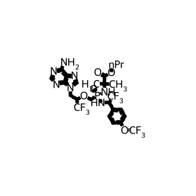 CCCOC(=O)C(C)(C)NP(=O)(COC(Cn1cnc2c(N)ncnc21)C(F)(F)F)NC(c1ccc(OC(F)(F)F)cc1)C(F)(F)F